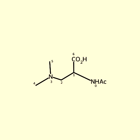 CC(=O)NC(CN(C)C)C(=O)O